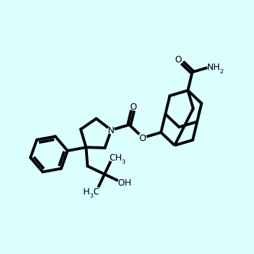 CC(C)(O)CC1(c2ccccc2)CCN(C(=O)OC2C3CC4CC2CC(C(N)=O)(C4)C3)C1